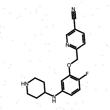 N#Cc1ccc(COc2cc(NC3CCNCC3)ccc2F)nc1